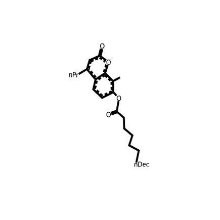 CCCCCCCCCCCCCCCC(=O)Oc1ccc2c(CCC)cc(=O)oc2c1C